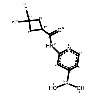 O=C(Nc1cc(B(O)O)ccn1)C1CC(F)(F)C1